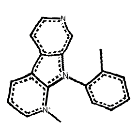 Cc1ccccc1-n1c2cnccc2c2ccc[n+](C)c21